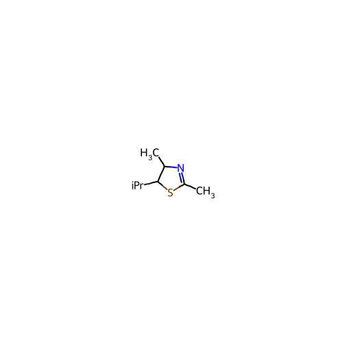 CC1=NC(C)C(C(C)C)S1